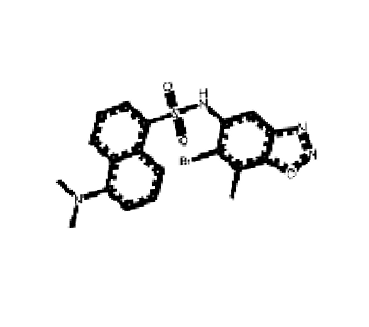 Cc1c(Br)c(NS(=O)(=O)c2cccc3c(N(C)C)cccc23)cc2nnoc12